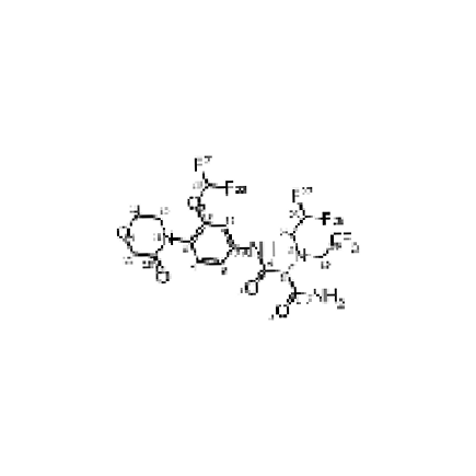 NC(=O)[C@H](C(=O)Nc1ccc(N2CCOCC2=O)c(OC(F)F)c1)N(CC(F)F)CC(F)(F)F